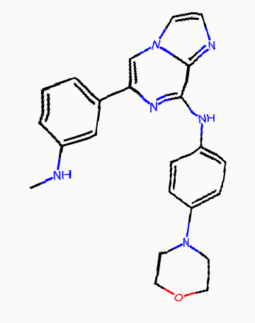 CNc1cccc(-c2cn3ccnc3c(Nc3ccc(N4CCOCC4)cc3)n2)c1